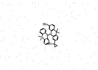 CCCC1(c2ccc3c(c2)N(B2c4ccccc4[Si](C)(C)c4ccccc42)c2cc(C(C)(C)C)ccc2C3(C)C)CC1